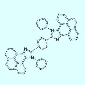 c1ccc(-n2c(-c3ccc(-c4nc5c6cccc7ccc8cccc(c8c76)c5n4-c4ccccc4)cc3)nc3c4cccc5ccc6cccc(c6c54)c32)cc1